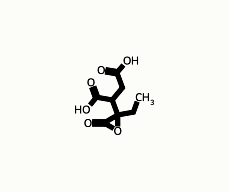 CCC1(C(CC(=O)O)C(=O)O)OC1=O